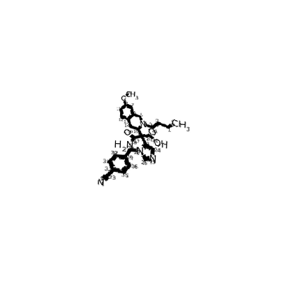 CCCCN1Cc2cc(OC)ccc2CC1C(C(N)=O)(C(=O)O)c1cncn1Cc1ccc(C#N)cc1